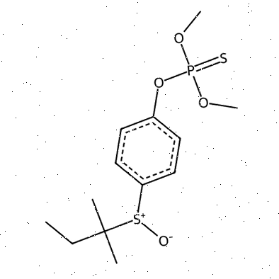 CCC(C)(C)[S+]([O-])c1ccc(OP(=S)(OC)OC)cc1